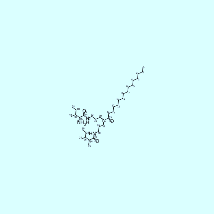 CCCCCCCCCCCCCCCC(=O)N(CCCNC(=O)[C@@H](C)C(C)CC)CCCNC(=O)[C@@H](N)C(C)CC